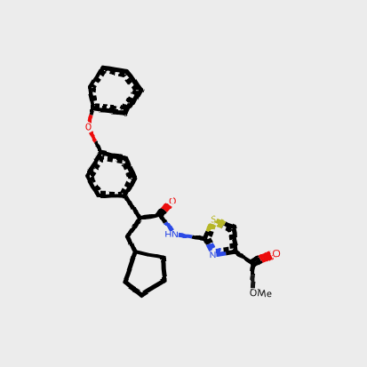 COC(=O)c1csc(NC(=O)C(CC2CCCC2)c2ccc(Oc3ccccc3)cc2)n1